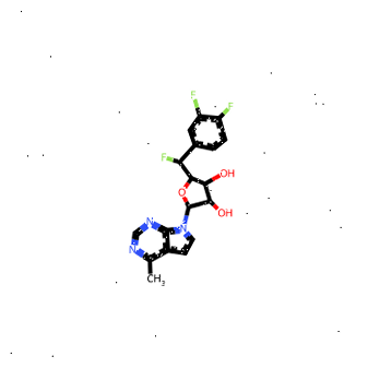 Cc1ncnc2c1ccn2C1OC(C(F)c2ccc(F)c(F)c2)C(O)C1O